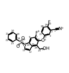 N#Cc1cc(Oc2c(F)cc3c(ccn3S(=O)(=O)c3ccccc3)c2CO)ccc1F